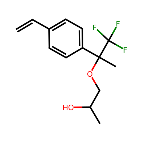 C=Cc1ccc(C(C)(OCC(C)O)C(F)(F)F)cc1